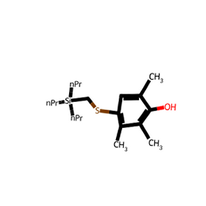 CCC[Si](CCC)(CCC)CSc1cc(C)c(O)c(C)c1C